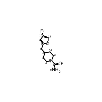 NC(=O)N1CCC(Cc2cc(F)cs2)CC1